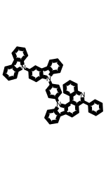 c1ccc(-c2nc3ccccc3c3c2ccc2c4ccccc4n(-c4ccc(-n5c6ccccc6c6cc(-n7c8ccccc8c8ccccc87)ccc65)cc4)c23)cc1